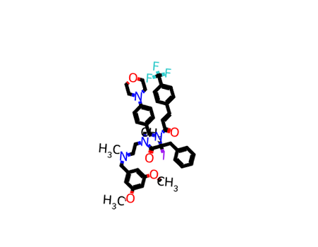 COc1cc(CN(C)CCN(C)C(=O)C(I)(Cc2ccccc2)N(Cc2ccc(N3CCOCC3)cc2)C(=O)C=Cc2ccc(C(F)(F)F)cc2)cc(OC)c1